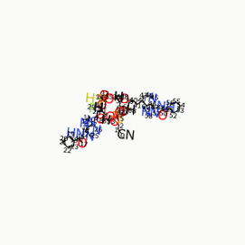 N#CCCOP1(=S)O[C@H]2OC(n3cnc4c(NC(=O)c5ccccc5)ncnc43)[C@H](F)[C@@H]2OP(=O)(S)OC[C@H]2OC(CCC3CC=Nc4c(NC(=O)c5ccccc5)ncnc43)[C@@H]3O[C@]23O1